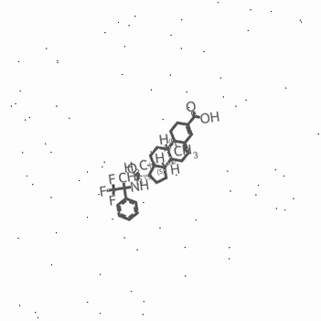 CC(NC(=O)[C@H]1CC[C@H]2[C@@H]3CC=C4C=C(C(=O)O)CC[C@]4(C)[C@H]3CC[C@]12C)(c1ccccc1)C(F)(F)F